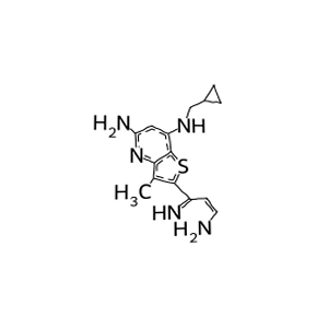 Cc1c(C(=N)/C=C\N)sc2c(NCC3CC3)cc(N)nc12